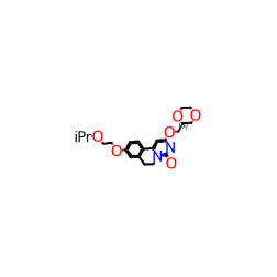 CC(C)OCCOc1ccc2c(c1)CCn1c-2cc(OC[C@@H]2COCCO2)nc1=O